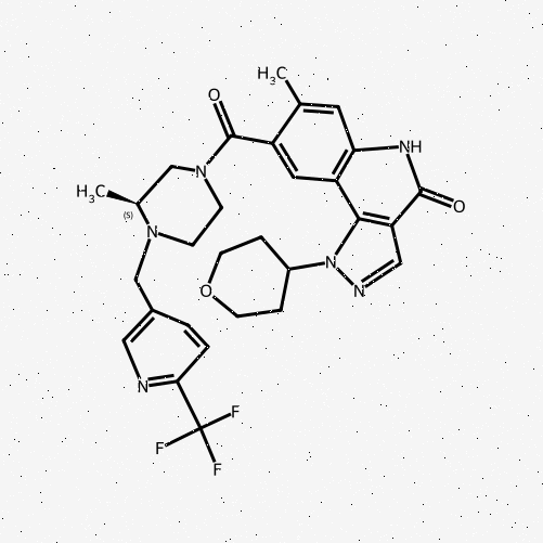 Cc1cc2[nH]c(=O)c3cnn(C4CCOCC4)c3c2cc1C(=O)N1CCN(Cc2ccc(C(F)(F)F)nc2)[C@@H](C)C1